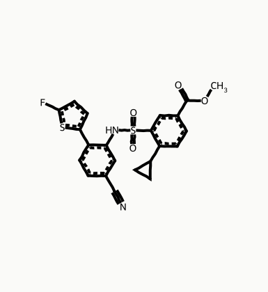 COC(=O)c1ccc(C2CC2)c(S(=O)(=O)Nc2cc(C#N)ccc2-c2ccc(F)s2)c1